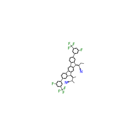 CC/C(C#N)=C1\c2cc(-c3cc(F)cc(C(F)(F)F)c3)ccc2-c2cc3c(cc21)/C(=C(\C)C(C)C#N)c1cc(-c2cc(F)cc(C(F)(F)F)c2)ccc1-3